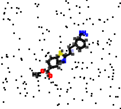 COC(=O)c1ccc2sc(/C=C/c3cccc(N)c3)nc2c1